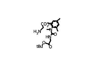 Cc1cc(C)c(N(C)C(=O)NCC(=O)OC(C)(C)C)c(C)c1.NCC(=O)O